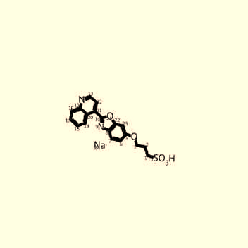 O=S(=O)(O)CCCOc1ccc2nc(-c3ccnc4ccccc34)oc2c1.[Na]